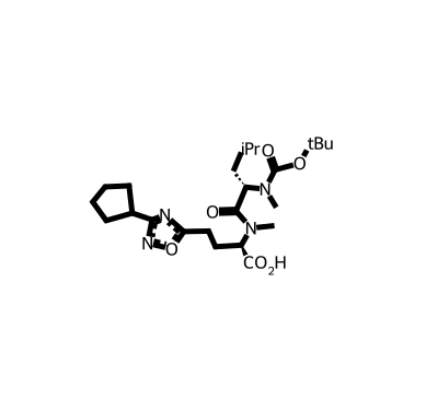 CC(C)C[C@@H](C(=O)N(C)[C@H](CCc1nc(C2CCCC2)no1)C(=O)O)N(C)C(=O)OC(C)(C)C